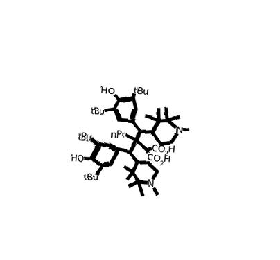 CCCC(C(C(=O)O)C(=O)O)(C(c1cc(C(C)(C)C)c(O)c(C(C)(C)C)c1)C1CCN(C)C(C)(C)C1(C)C)C(c1cc(C(C)(C)C)c(O)c(C(C)(C)C)c1)C1CCN(C)C(C)(C)C1(C)C